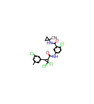 Cc1cc(Cl)cc(C2C(C(=O)Nc3ccc(Cl)c(C(=O)NC4(C#N)CC4)c3)C2(Cl)Cl)c1